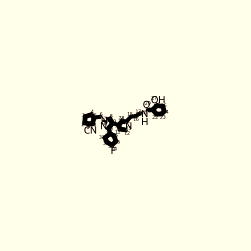 N#Cc1cccc(Cn2cc(-c3ccnc(CCCNC(=O)c4ccccc4O)c3)c(-c3ccc(F)cc3)n2)c1